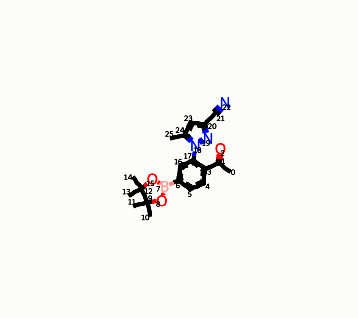 CC(=O)c1ccc(B2OC(C)(C)C(C)(C)O2)cc1-n1nc(C#N)cc1C